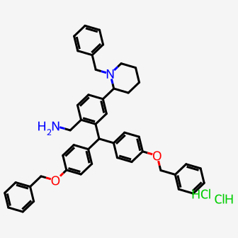 Cl.Cl.NCc1ccc(C2CCCCN2Cc2ccccc2)cc1C(c1ccc(OCc2ccccc2)cc1)c1ccc(OCc2ccccc2)cc1